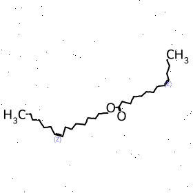 CCCC/C=C\CCCCCCCC(=O)OCCCCCCCC/C=C\CCCCCC